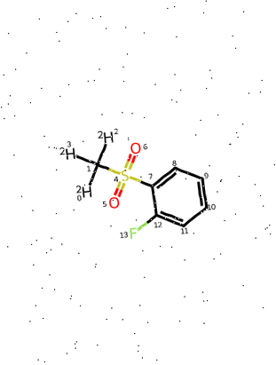 [2H]C([2H])([2H])S(=O)(=O)c1ccccc1F